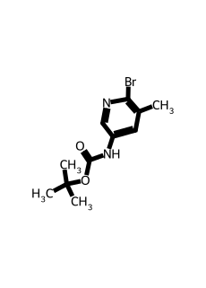 Cc1cc(NC(=O)OC(C)(C)C)cnc1Br